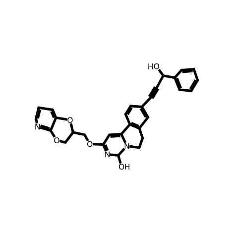 OC(C#Cc1ccc2c(c1)CCN1C2=CC(OCC2COc3ncccc3O2)=NC1O)c1ccccc1